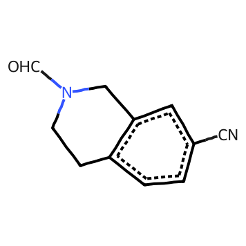 N#Cc1ccc2c(c1)CN(C=O)CC2